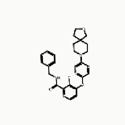 O=C(NCc1ccccc1)c1nccc(Sc2cnc(N3CCC4(CCOC4)CC3)cn2)c1Cl